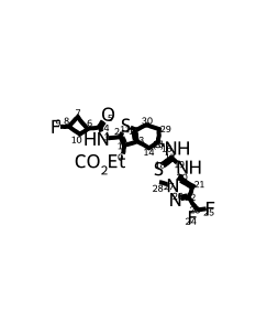 CCOC(=O)c1c(NC(=O)C2CC(F)C2)sc2c1C[C@@H](NC(=S)Nc1cc(C(F)F)nn1C)CC2